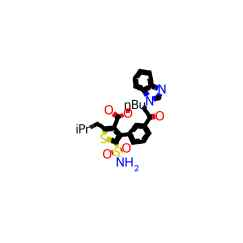 CCCCOC(=O)c1c(CC(C)C)sc(S(N)(=O)=O)c1-c1cccc(C(=O)Cn2cnc3ccccc32)c1